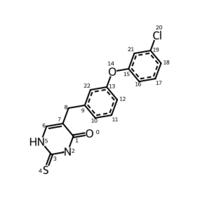 O=C1[N]C(=S)NC=C1Cc1cccc(Oc2cccc(Cl)c2)c1